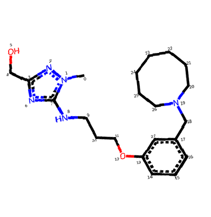 Cn1nc(CO)nc1NCCCOc1cccc(CN2CCCCCCC2)c1